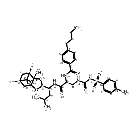 CCCCc1ccc(C(=O)N[C@@H](CNC(=O)NS(=O)(=O)c2ccc(C)cc2)C(=O)N[C@@H](CC(C)C)B2OC3C[C@@H]4C[C@@H](C4(C)C)[C@]3(C)O2)cc1